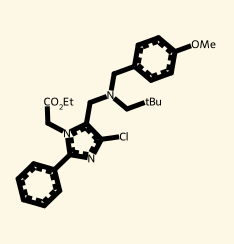 CCOC(=O)Cn1c(-c2ccccc2)nc(Cl)c1CN(Cc1ccc(OC)cc1)CC(C)(C)C